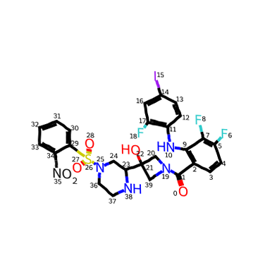 O=C(c1ccc(F)c(F)c1Nc1ccc(I)cc1F)N1CC(O)(C2CN(S(=O)(=O)c3ccccc3[N+](=O)[O-])CCN2)C1